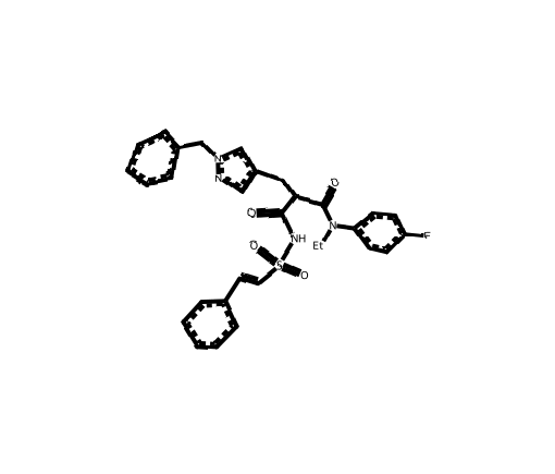 CCN(C(=O)C(Cc1cnn(Cc2ccccc2)c1)C(=O)NS(=O)(=O)C=Cc1ccccc1)c1ccc(F)cc1